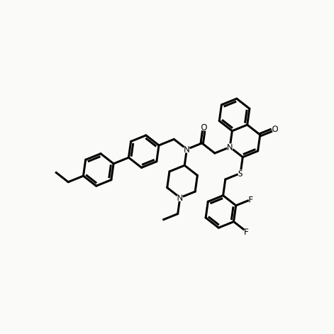 CCc1ccc(-c2ccc(CN(C(=O)Cn3c(SCc4cccc(F)c4F)cc(=O)c4ccccc43)C3CCN(CC)CC3)cc2)cc1